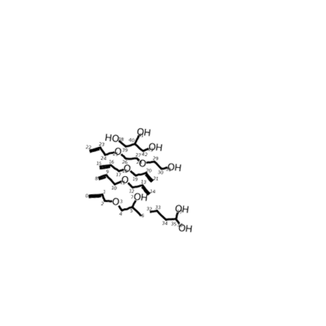 C=CCOCC(C)O.C=CCOCC=C.C=CCOCC=C.C=CCOCCOCCO.CCCC(O)O.OCC(O)CO